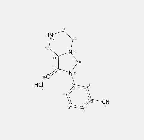 Cl.N#Cc1cccc(N2CN3CCNCC3C2=O)c1